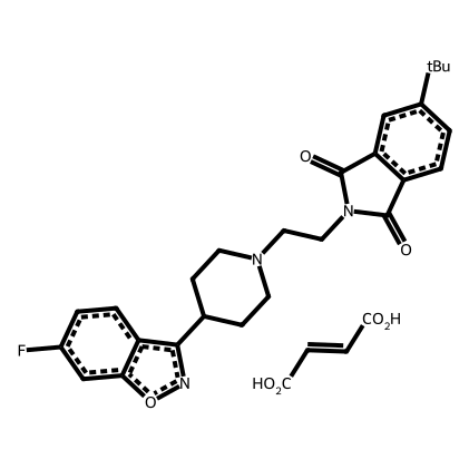 CC(C)(C)c1ccc2c(c1)C(=O)N(CCN1CCC(c3noc4cc(F)ccc34)CC1)C2=O.O=C(O)/C=C/C(=O)O